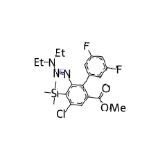 CCN(CC)/N=N/c1c(-c2cc(F)cc(F)c2)c(C(=O)OC)cc(Cl)c1[Si](C)(C)C